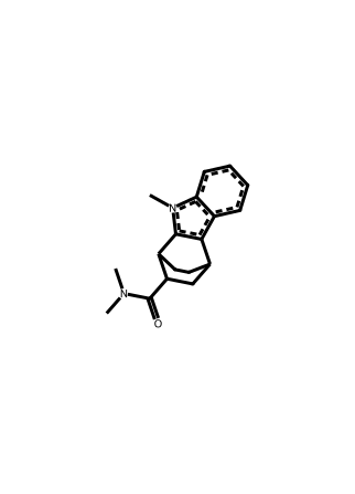 CN(C)C(=O)C1CC2CCC1c1c2c2ccccc2n1C